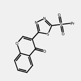 CC(C)S(=O)(=O)c1nnc(-c2coc3ccccc3c2=O)s1